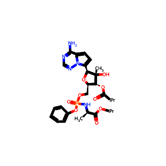 CC(C)OC(=O)[C@@H](C)NP(=O)(OC[C@H]1O[C@@H](c2ccc3c(N)ncnn23)[C@](C)(O)[C@@H]1OC(=O)C(C)C)Oc1ccccc1